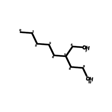 CCCCCC(CO)CCO